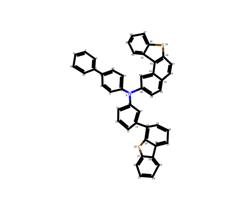 c1ccc(-c2ccc(N(c3cccc(-c4cccc5c4sc4ccccc45)c3)c3ccc4ccc5sc6ccccc6c5c4c3)cc2)cc1